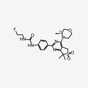 C[C@H]1COCCN1c1nc(-c2ccc(NC(=O)NCCF)cc2)nc2c1CS(=O)(=O)C2(C)C